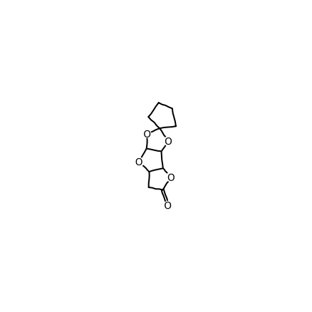 O=C1CC2OC3OC4(CCCC4)OC3C2O1